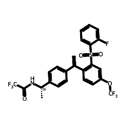 C=C(c1ccc([C@H](C)NC(=O)C(F)(F)F)cc1)c1ccc(OC(F)(F)F)cc1S(=O)(=O)c1ccccc1F